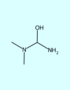 CN(C)C(N)O